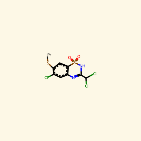 CC(C)Sc1cc2c(cc1Cl)N=C(C(Cl)Cl)NS2(=O)=O